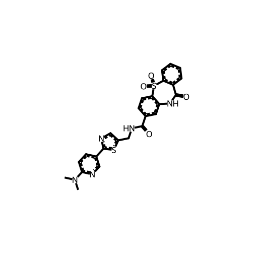 CN(C)c1ccc(-c2ncc(CNC(=O)c3ccc4c(c3)NC(=O)c3ccccc3S4(=O)=O)s2)cn1